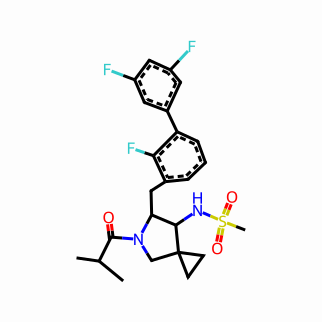 CC(C)C(=O)N1CC2(CC2)C(NS(C)(=O)=O)C1Cc1cccc(-c2cc(F)cc(F)c2)c1F